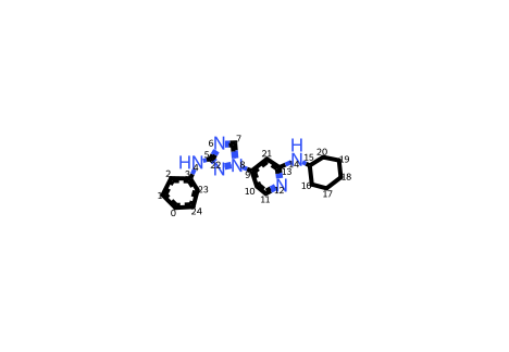 c1ccc(Nc2ncn(-c3ccnc(NC4CCCCC4)c3)n2)cc1